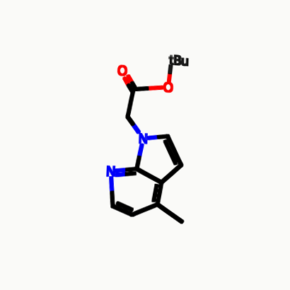 Cc1ccnc2c1ccn2CC(=O)OC(C)(C)C